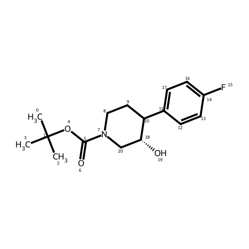 CC(C)(C)OC(=O)N1CCC(c2ccc(F)cc2)[C@H](O)C1